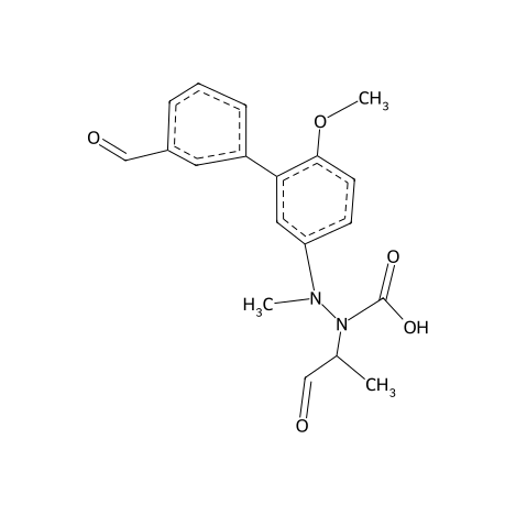 COc1ccc(N(C)N(C(=O)O)C(C)C=O)cc1-c1cccc(C=O)c1